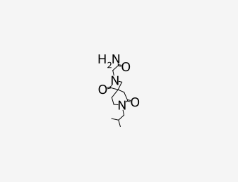 CC(C)CN1CCC2(CC1=O)CN(CC(N)=O)C2=O